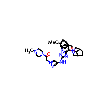 COc1ccc(COC2C3CCC2CN(c2cccn4nc(Nc5cnn(CC(=O)N6CCN(C)CC6)c5)nc24)C3)cc1